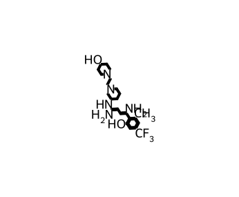 Cc1cc(C(F)(F)F)cc(O)c1/C(N)=C/C=C(\N)NC1CCCN(CCN2CCC(O)CC2)C1